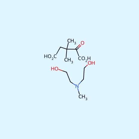 CC(C)(CC(=O)O)C(=O)C(=O)O.CN(CCO)CCO